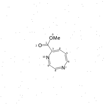 COC(=O)C1=CC=CN=CC=N1